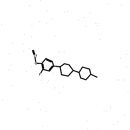 [CH2]=[Cf][O]c1ccc(C2CCC(C3CCC(C)CC3)CC2)cc1F